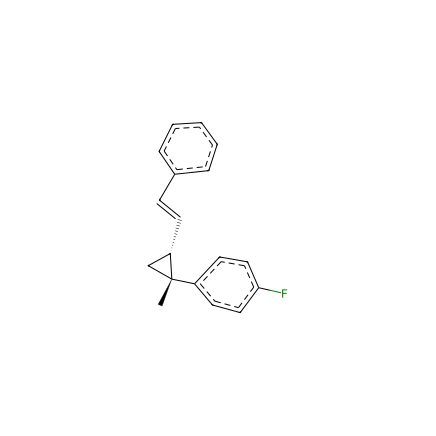 C[C@@]1(c2ccc(F)cc2)C[C@@H]1/C=C/c1ccccc1